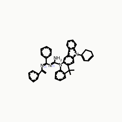 C=C(/N=C(\N=C(/N)N1c2ccccc2C(C)(C)c2cc3c(cc21)c1ccccc1n3C1=CC=CCC1)c1ccccc1)c1ccccc1